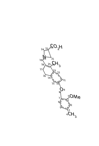 COc1cc(C)ccc1COc1ccc2c(c1)CCC(CN1CC(C(=O)O)C1)=C2C